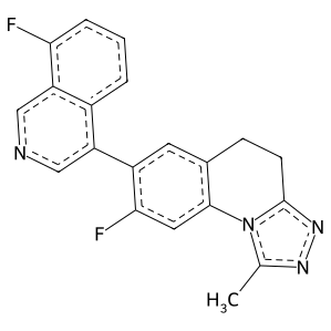 Cc1nnc2n1-c1cc(F)c(-c3cncc4c(F)cccc34)cc1CC2